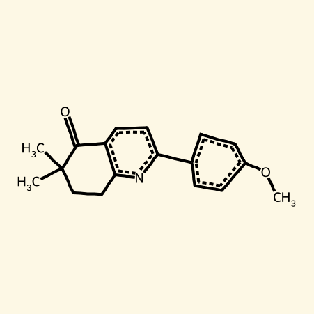 COc1ccc(-c2ccc3c(n2)CCC(C)(C)C3=O)cc1